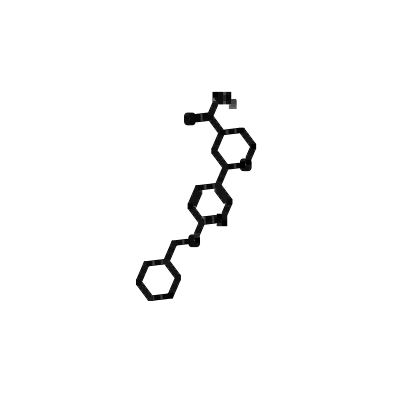 NC(=O)C1CCOC(c2ccc(OCC3CCCCC3)nc2)C1